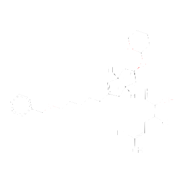 CC(C)=CCC(C)C(O)C=C[C@@H]1[C@@H]2CC(CCCCCOCc3ccccc3)=C[C@@H]2C[C@H]1OC1CCCCO1